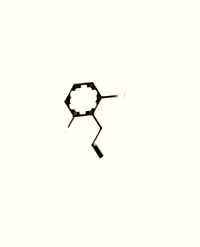 C=CCc1c(CC)cccc1CC